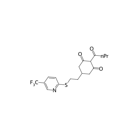 CCCC(=O)C1C(=O)CC(CCSc2ccc(C(F)(F)F)cn2)CC1=O